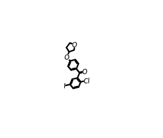 O=C(c1ccc(OC2CCOC2)cc1)c1cc(I)ccc1Cl